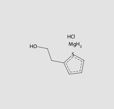 Cl.OCCc1cccs1.[MgH2]